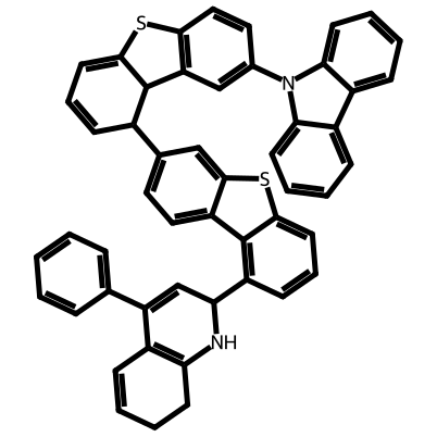 C1=CC(c2ccc3c(c2)sc2cccc(C4C=C(c5ccccc5)C5=C(CCC=C5)N4)c23)C2C(=C1)Sc1ccc(-n3c4ccccc4c4ccccc43)cc12